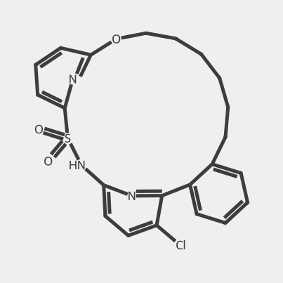 O=S1(=O)Nc2ccc(Cl)c(n2)-c2ccccc2CCCCCCOc2cccc1n2